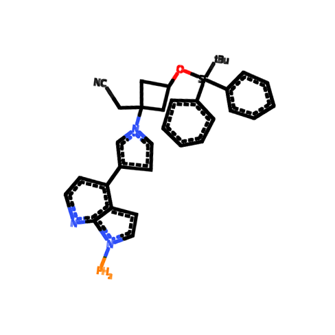 CC(C)(C)[Si](OC1CC(CC#N)(n2ccc(-c3ccnc4c3ccn4P)c2)C1)(c1ccccc1)c1ccccc1